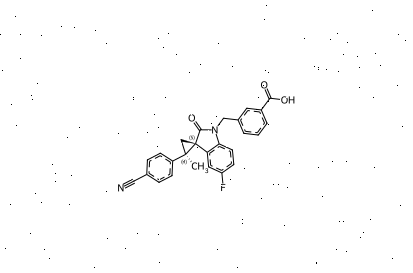 C[C@]1(c2ccc(C#N)cc2)C[C@]12C(=O)N(Cc1cccc(C(=O)O)c1)c1ccc(F)cc12